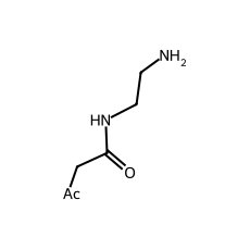 CC(=O)CC(=O)NCCN